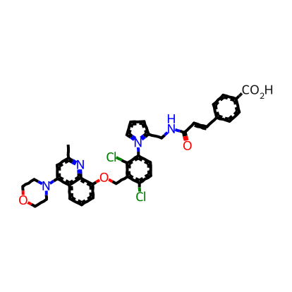 Cc1cc(N2CCOCC2)c2cccc(OCc3c(Cl)ccc(-n4cccc4CNC(=O)C=Cc4ccc(C(=O)O)cc4)c3Cl)c2n1